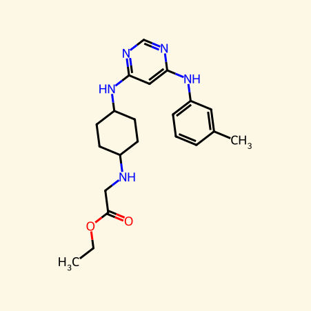 CCOC(=O)CNC1CCC(Nc2cc(Nc3cccc(C)c3)ncn2)CC1